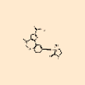 C[C@@H]1COc2ccc(C#C[C@]3(O)CCNC3=O)cc2-c2nc(C(N)=O)sc21